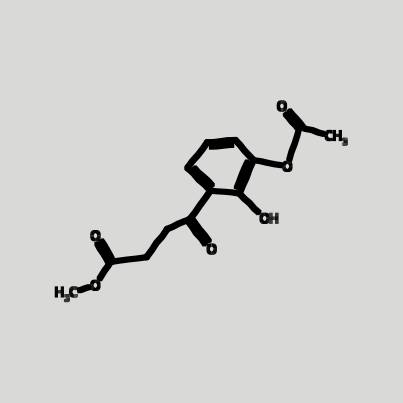 COC(=O)CCC(=O)c1cccc(OC(C)=O)c1O